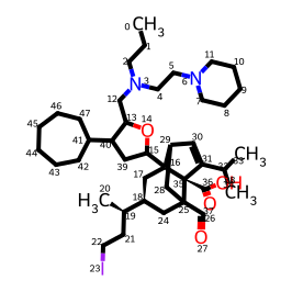 CCCN(CCN1CCCCC1)CC1OC(C23C[C@H]([C@H](C)CCI)CC4(C=O)CC2C=C(C(C)C)[C@]43C(=O)O)CC1C1CCCCCC1